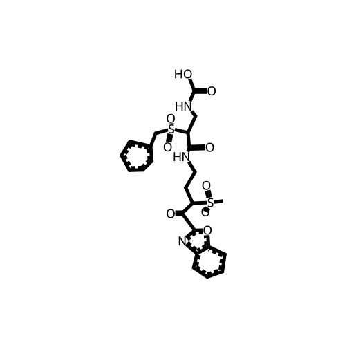 CS(=O)(=O)C(CCNC(=O)C(CNC(=O)O)S(=O)(=O)Cc1ccccc1)C(=O)c1nc2ccccc2o1